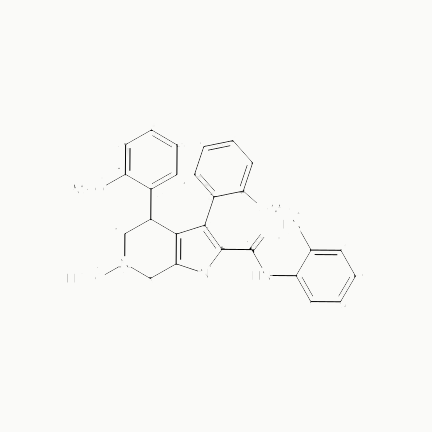 COc1ccccc1-c1c(C(=O)Nc2ccccc2N)[nH]c2c1C(c1ccccc1OC)CN(C(=O)O)C2